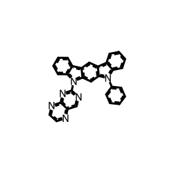 c1ccc(-n2c3ccccc3c3cc4c5ccccc5n(-c5ncc6nccnc6n5)c4cc32)cc1